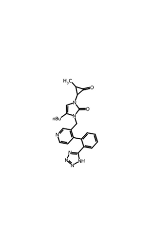 CCCCc1cn(C2C(=O)C2C)c(=O)n1Cc1cnccc1-c1ccccc1-c1nnn[nH]1